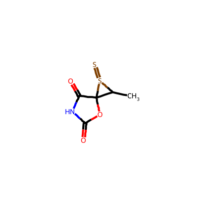 CC1S(=S)C12OC(=O)NC2=O